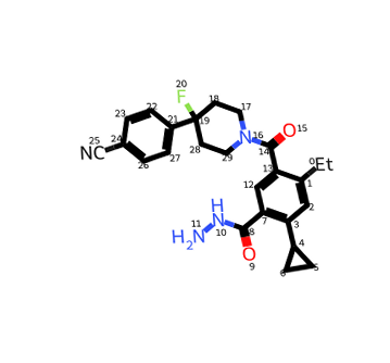 CCc1cc(C2CC2)c(C(=O)NN)cc1C(=O)N1CCC(F)(c2ccc(C#N)cc2)CC1